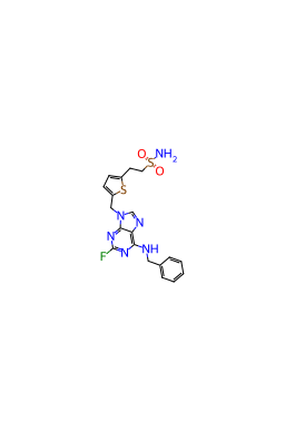 NS(=O)(=O)CCc1ccc(Cn2cnc3c(NCc4ccccc4)nc(F)nc32)s1